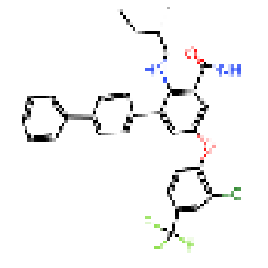 CC[C@H](C)CNc1c(C([NH])=O)cc(Oc2ccc(C(F)(F)F)cc2Cl)cc1-c1ccc(-c2ccccc2)cc1